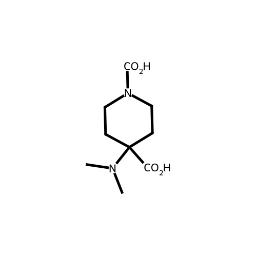 CN(C)C1(C(=O)O)CCN(C(=O)O)CC1